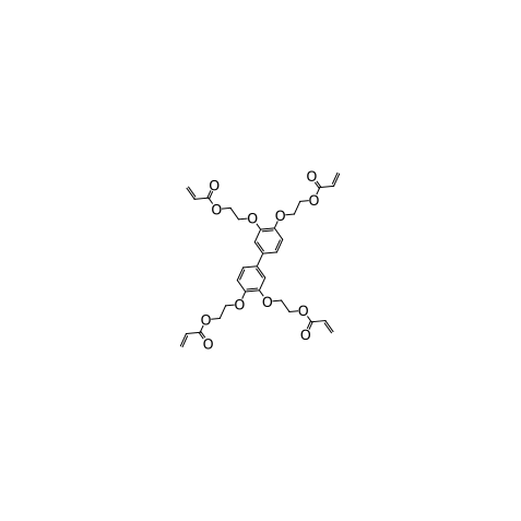 C=CC(=O)OCCOc1ccc(-c2ccc(OCCOC(=O)C=C)c(OCCOC(=O)C=C)c2)cc1OCCOC(=O)C=C